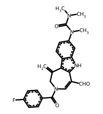 C=C1CN(C(=O)c2ccc(F)cc2)C=C(C=O)c2[nH]c3cc(N(C)C(=O)N(C)C)ccc3c21